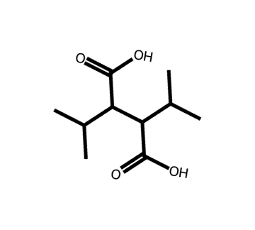 CC(C)C(C(=O)O)C(C(=O)O)C(C)C